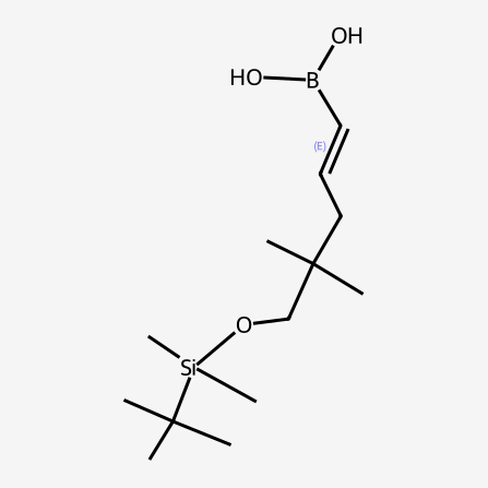 CC(C)(C/C=C/B(O)O)CO[Si](C)(C)C(C)(C)C